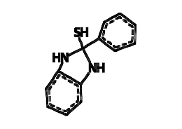 SC1(c2ccccc2)Nc2ccccc2N1